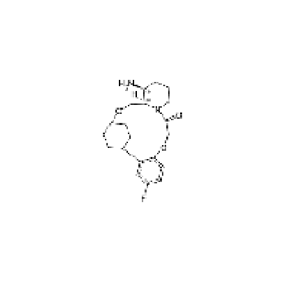 N[C@H]1CCCN2C(=O)COc3ccc(F)cc3C3CCC(CC3)OC[C@@H]12